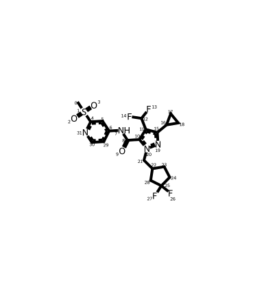 CS(=O)(=O)c1cc(NC(=O)c2c(C(F)F)c(C3CC3)nn2CC2CCC(F)(F)C2)ccn1